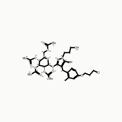 Cc1cc(OCCCCl)ccc1Cc1c(O[C@@H]2O[C@H](COC(=O)C(C)(C)C)[C@@H](OC(=O)C(C)(C)C)[C@H](OC(=O)C(C)(C)C)[C@H]2OC(=O)C(C)(C)C)nn(CCCO)c1C(C)C